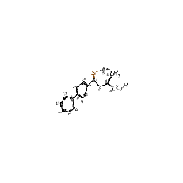 CC(=O)SC(CC(C)C(=O)O)c1ccc(-c2ccccc2)cc1